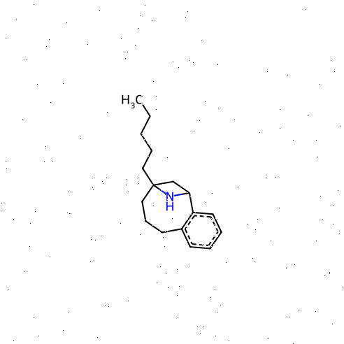 CCCCCC12CCCc3ccccc3C(C1)N2